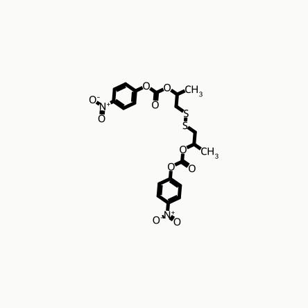 CC(CSSCC(C)OC(=O)Oc1ccc([N+](=O)[O-])cc1)OC(=O)Oc1ccc([N+](=O)[O-])cc1